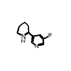 Brc1cncc(C2CCCCN2)c1